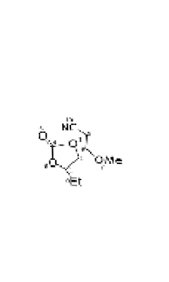 CCC1COC(=O)O1.COCCC#N